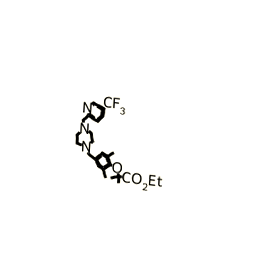 CCOC(=O)C(C)(C)Oc1c(C)cc(CN2CCN(Cc3ccc(C(F)(F)F)cn3)CC2)cc1C